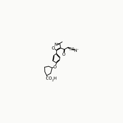 Cc1noc(-c2ccc(OC3CCCC(C(=O)O)C3)cc2)c1C(=O)C=[N+]=[N-]